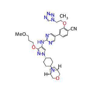 COCCCOc1nn([C@H]2CC[C@H](N3[C@@H]4CC[C@H]3COC4)CC2)cc1Nc1ncc(-c2ccc(C#N)c(O[C@@H](C)Cn3cnnn3)c2)cn1